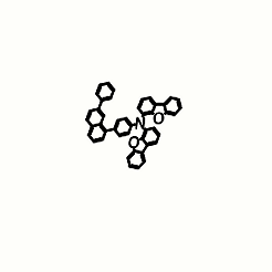 c1ccc(-c2ccc3cccc(-c4ccc(N(c5cccc6c5oc5ccccc56)c5cccc6c5oc5ccccc56)cc4)c3c2)cc1